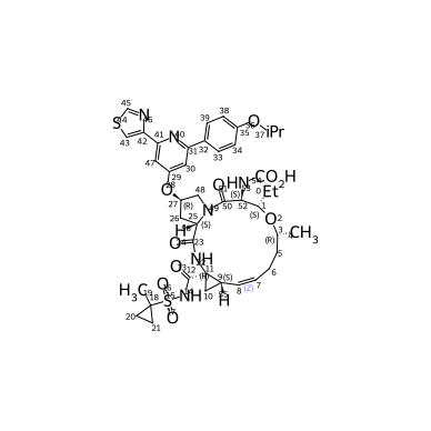 CC[C@@H]1O[C@H](C)CC/C=C\[C@@H]2C[C@@]2(C(=O)NS(=O)(=O)C2(C)CC2)NC(=O)[C@@H]2C[C@@H](Oc3cc(-c4ccc(OC(C)C)cc4)nc(-c4cscn4)c3)CN2C(=O)[C@H]1NC(=O)O